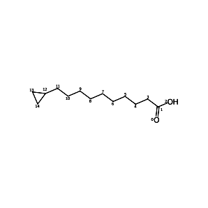 O=C(O)CCCCCCCCCC1CC1